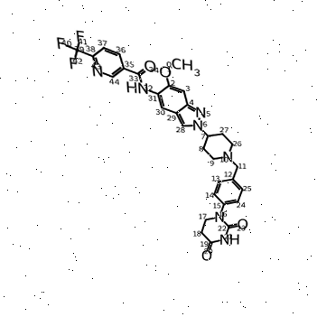 COc1cc2nn(C3CCN(Cc4ccc(N5CCC(=O)NC5=O)cc4)CC3)cc2cc1NC(=O)c1ccc(C(F)(F)F)nc1